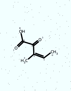 C/C=C(/C)C(=O)C(=O)O